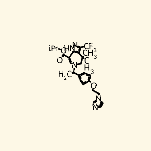 C=C(c1ccc(OCCn2ccnc2)cc1)N1C=C(C(=O)OC(C)C)c2[nH]nc(C(F)(F)F)c2C(C)(C)C1